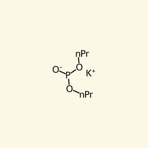 CCCOP([O-])OCCC.[K+]